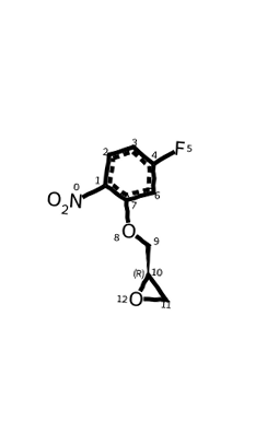 O=[N+]([O-])c1ccc(F)cc1OC[C@H]1CO1